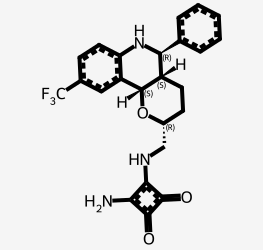 Nc1c(NC[C@H]2CC[C@@H]3[C@H](O2)c2cc(C(F)(F)F)ccc2N[C@H]3c2ccccc2)c(=O)c1=O